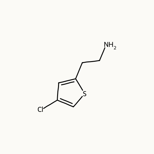 NCCc1cc(Cl)cs1